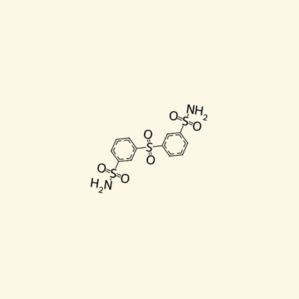 NS(=O)(=O)c1cccc(S(=O)(=O)c2cccc(S(N)(=O)=O)c2)c1